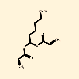 C=CC(=O)OC(CCCCCCCCCCCCC)OC(=O)C=C